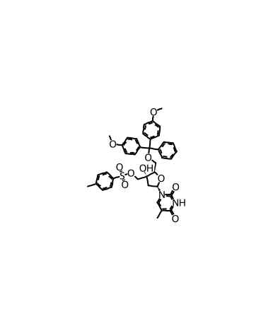 COc1ccc(C(OC[C@H]2O[C@@H](n3cc(C)c(=O)[nH]c3=O)C[C@@]2(O)COS(=O)(=O)c2ccc(C)cc2)(c2ccccc2)c2ccc(OC)cc2)cc1